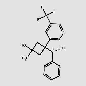 CC1(O)CC(c2cncc(C(F)(F)F)c2)([C@H](O)c2ccccn2)C1